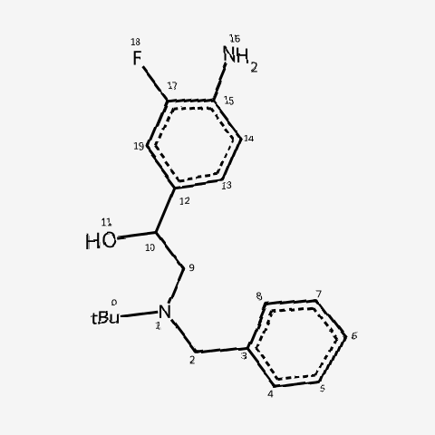 CC(C)(C)N(Cc1ccccc1)CC(O)c1ccc(N)c(F)c1